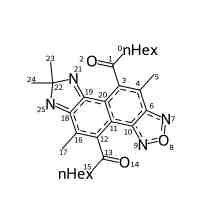 CCCCCCC(=O)c1c(C)c2nonc2c2c(C(=O)CCCCCC)c(C)c3c(c12)=NC(C)(C)N=3